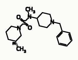 C[C@@H]1CCCN(S(=O)(=O)N(C)C2CCN(Cc3ccccc3)CC2)C1